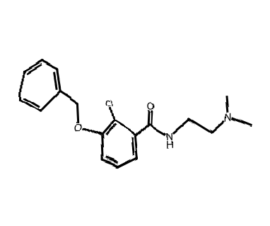 CN(C)CCNC(=O)c1cccc(OCc2ccccc2)c1Cl